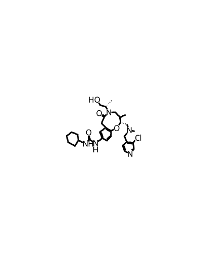 CC1CN([C@@H](C)CO)C(=O)Cc2cc(NC(=O)NC3CCCCC3)ccc2O[C@H]1CN(C)Cc1ccncc1Cl